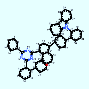 c1ccc(-c2nc(-c3ccccc3-c3ccccc3)nc(-c3ccc(-c4ccc(-c5ccccc5-n5c6ccccc6c6ccccc65)cc4)c4ccccc34)n2)cc1